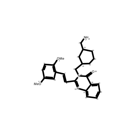 COc1ccc(OC)c(C=Cc2nc3ccccc3c(=O)n2CC2CCCC(CN)C2)c1